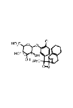 COC1(c2ccc(Cl)c(OC3OC(C(=O)O)[C@@H](O)[C@H](O)[C@@H]3O)c2)OOC12C1CCCC2C2=C(CCCC2)C1